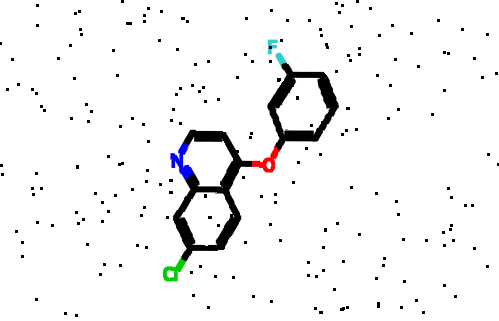 Fc1cccc(Oc2ccnc3cc(Cl)ccc23)c1